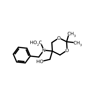 CC1(C)OCC(CO)(N(Cc2ccccc2)C(=O)O)CO1